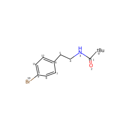 CC(C)(C)C(=O)NCCc1ccc(Br)cc1